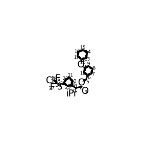 CC(C)C(C(=O)OCc1cccc(Oc2ccccc2)c1)c1cccc(SC(F)(F)Cl)c1